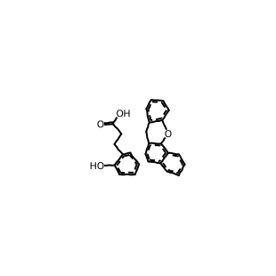 O=C(O)CCc1ccccc1O.c1ccc2c(c1)Cc1ccc3ccccc3c1O2